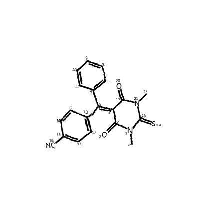 CN1C(=O)C(=C(c2ccccc2)c2ccc(C#N)cc2)C(=O)N(C)C1=S